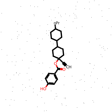 C#CC1(OC(=O)c2ccc(O)cc2)CCC(C2CCC(CCC)CC2)CC1